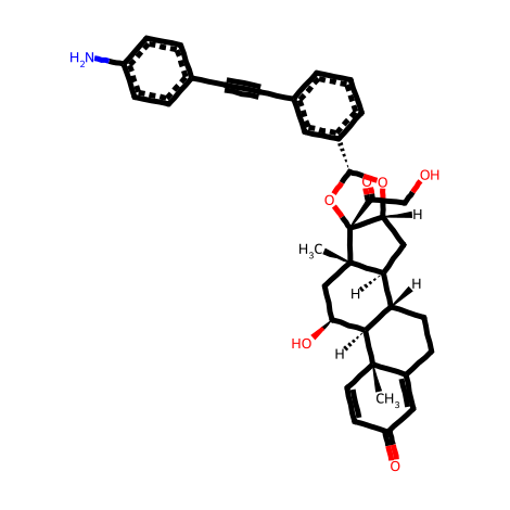 C[C@]12C=CC(=O)C=C1CC[C@@H]1[C@@H]2[C@@H](O)C[C@@]2(C)[C@H]1C[C@H]1O[C@@H](c3cccc(C#Cc4ccc(N)cc4)c3)O[C@]12C(=O)CO